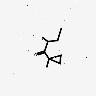 CCC(C)C(=O)C1(C)CC1